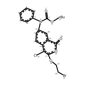 CC(C)(C)OC(=O)N(c1ccccc1)c1ccc2c(Cl)c(OCCBr)oc(=O)c2c1